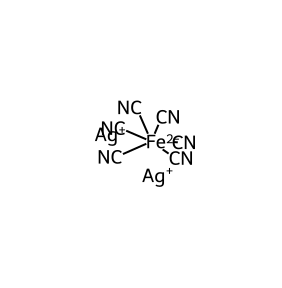 N#[C][Fe-2]([C]#N)([C]#N)([C]#N)([C]#N)[C]#N.[Ag+].[Ag+]